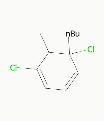 CCCCC1(Cl)C=CC=C(Cl)C1C